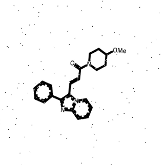 COC1CCN(C(=O)/C=C/c2c(-c3ccccc3)nc3ccccn23)CC1